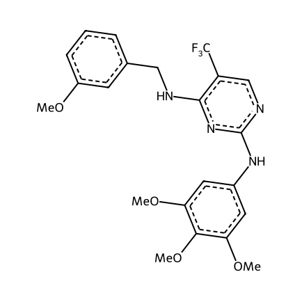 COc1cccc(CNc2nc(Nc3cc(OC)c(OC)c(OC)c3)ncc2C(F)(F)F)c1